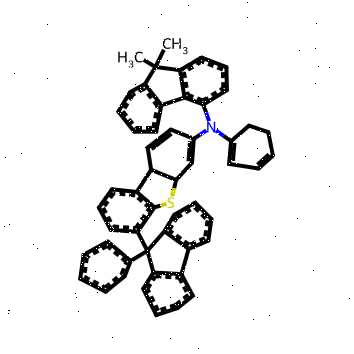 CC1(C)c2ccccc2-c2c(N(C3=CC4Sc5c(cccc5C5(c6ccccc6)c6ccccc6-c6ccccc65)C4C=C3)C3=CC=CCC3)cccc21